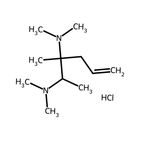 C=CCC(C)(C(C)N(C)C)N(C)C.Cl